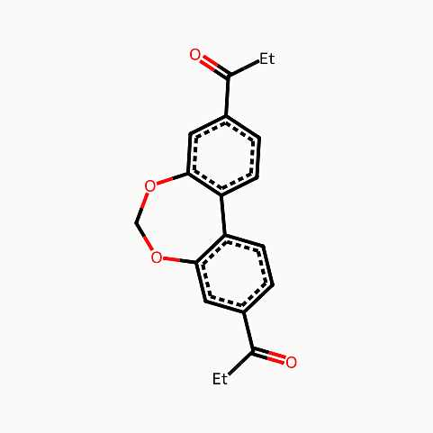 CCC(=O)c1ccc2c(c1)OCOc1cc(C(=O)CC)ccc1-2